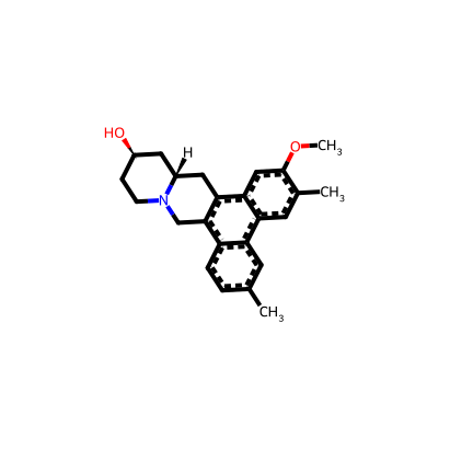 COc1cc2c3c(c4ccc(C)cc4c2cc1C)CN1CC[C@@H](O)C[C@@H]1C3